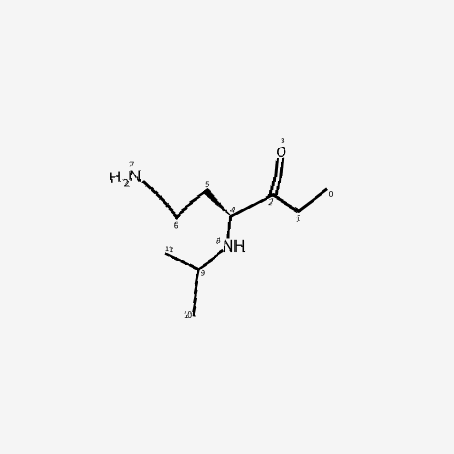 CCC(=O)[C@H](CCN)NC(C)C